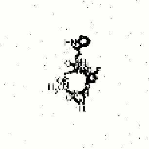 CN1CC(=O)N2CCNC[C@H]2COc2ccc(F)cc2C(=O)N(C)[C@H](C(=O)NCCc2c[nH]c3ccccc23)CCC1=O